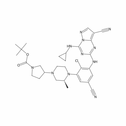 C[C@H]1CN(C2CCN(C(=O)OC(C)(C)C)C2)CCN1c1cc(C#N)cc(Nc2nc(NC3CC3)n3ncc(C#N)c3n2)c1Cl